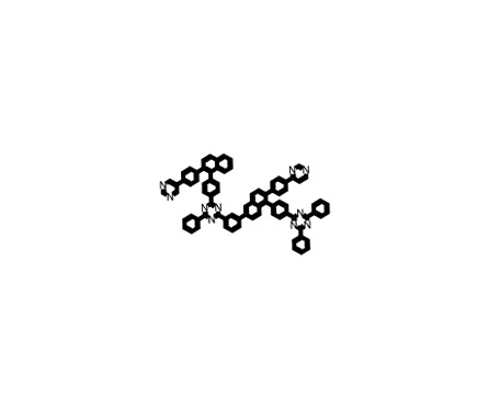 c1ccc(-c2nc(-c3ccccc3)nc(-c3ccc(-c4c(-c5ccc(-c6ccncn6)cc5)ccc5cc(-c6cccc(-c7nc(-c8ccccc8)nc(-c8ccc(-c9c(-c%10ccc(-c%11cncnc%11)cc%10)ccc%10ccccc9%10)cc8)n7)c6)ccc45)cc3)n2)cc1